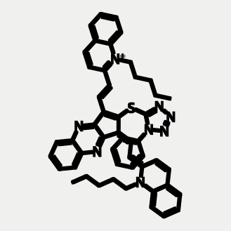 CCCCCN1/C(=C/C=C2C(Sc3nnnn3-c3ccccc3)=C(/C=C/c3ccc4ccccc4[n+]3CCCCC)c3nc4ccccc4nc3/2)C=Cc2ccccc21